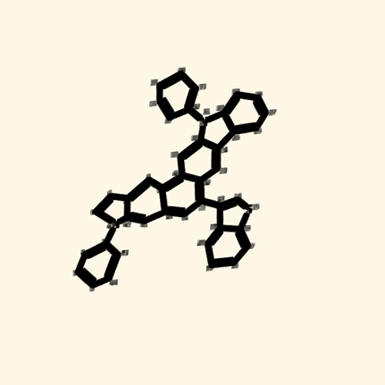 c1ccc(-n2ccc3cc4c(cc(-c5csc6ccccc56)c5cc6c7ccccc7n(-c7ccccc7)c6cc54)cc32)cc1